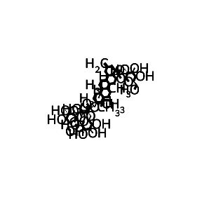 C=C1CC[C@]2(C(=O)O[C@@H]3O[C@H](CO)[C@@H](O)[C@H](O)[C@H]3O)CC[C@]3(C)C(=CC[C@@H]4[C@@]5(C)CC[C@H](O[C@@H]6OC[C@H](O)[C@H](O[C@@H]7O[C@H](CO)[C@@H](O)[C@H](O)[C@H]7O)[C@H]6O[C@@H]6O[C@H](CO)[C@@H](O)[C@H](O)[C@H]6O)C(C)(C)[C@@H]5CC[C@]43C)[C@@H]2C1